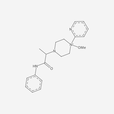 CO[N+]1(c2ccccn2)CCN(C(C)C(=O)Nc2ccccc2)CC1